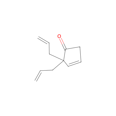 C=CCC1(CC=C)C=CCC1=O